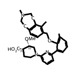 CO[C@@H]1CN(c2cccc(-c3cccc(C)c3OCc3ccc4c(c3C)CCN(C)CC4)n2)CC[C@@H]1C(=O)O